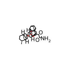 C[C@H]1CC[C@H]2C[C@@H]1C[C@H](N1[C@@H]3CC[C@H](C)[C@H]1C[C@@H](n1cc(C(=O)C(N)=O)c4ccccc41)C3)C2